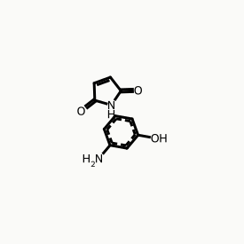 Nc1cccc(O)c1.O=C1C=CC(=O)N1